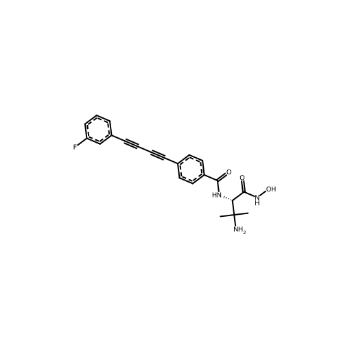 CC(C)(N)[C@H](NC(=O)c1ccc(C#CC#Cc2cccc(F)c2)cc1)C(=O)NO